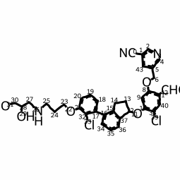 N#Cc1cncc(COc2cc(OC3CCc4c(-c5cccc(OCCCNCC(O)CO)c5Cl)cccc43)c(Cl)cc2C=O)c1